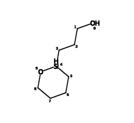 OCCC[SiH]1CCCCO1